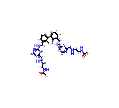 CC(=O)NCCNCc1ncnc(NCc2cccc(-c3cccc(CNc4ncnc(CNCCNC(C)=O)n4)c3C)c2C)n1